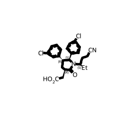 CC[C@@H](CCC#N)N1C(=O)[C@@H](CC(=O)O)C[C@H](c2cccc(Cl)c2)[C@H]1c1ccc(Cl)cc1